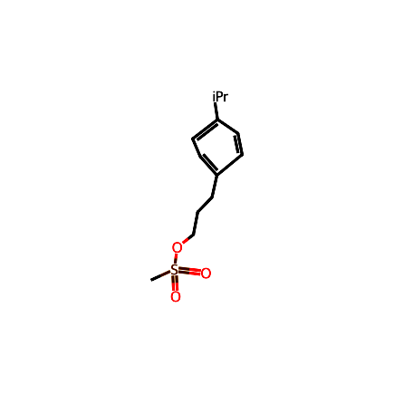 CC(C)c1ccc(CCCOS(C)(=O)=O)cc1